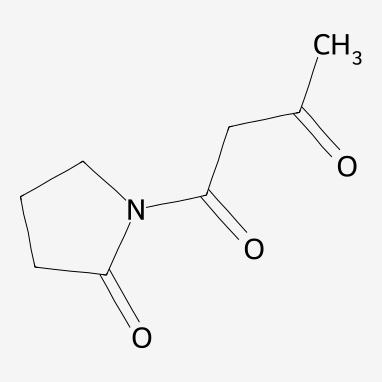 CC(=O)CC(=O)N1CCCC1=O